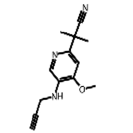 C#CCNc1cnc(C(C)(C)C#N)cc1OC